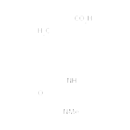 C=C(CCNC(=O)NC)C(=O)O